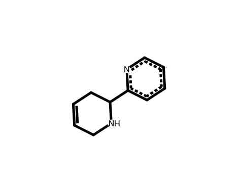 [c]1ccc(C2CC=CCN2)nc1